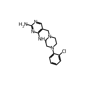 Nc1ncc(CN2CCN(c3ccccc3Cl)CC2)c(N)n1